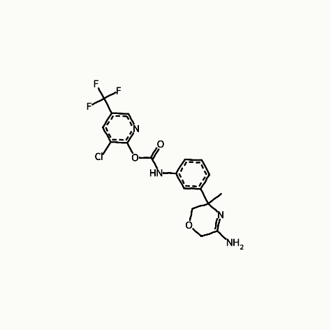 CC1(c2cccc(NC(=O)Oc3ncc(C(F)(F)F)cc3Cl)c2)COCC(N)=N1